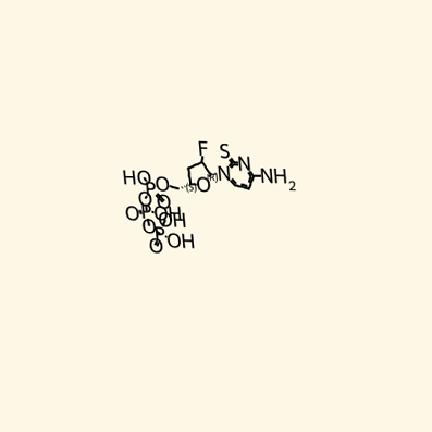 Nc1ccn([C@@H]2O[C@H](COP(=O)(O)OP(=O)(O)OP(=O)(O)O)CC2F)c(=S)n1